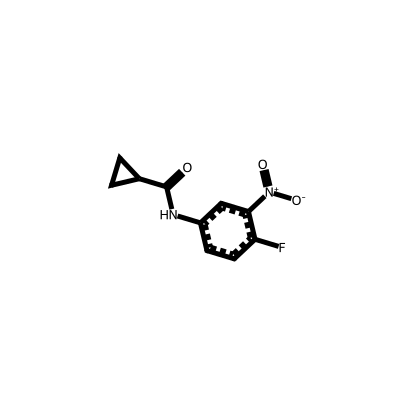 O=C(Nc1ccc(F)c([N+](=O)[O-])c1)C1CC1